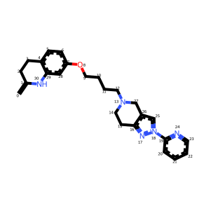 C=C1CCc2ccc(OCCCCN3CCc4nn(-c5ccccn5)cc4C3)cc2N1